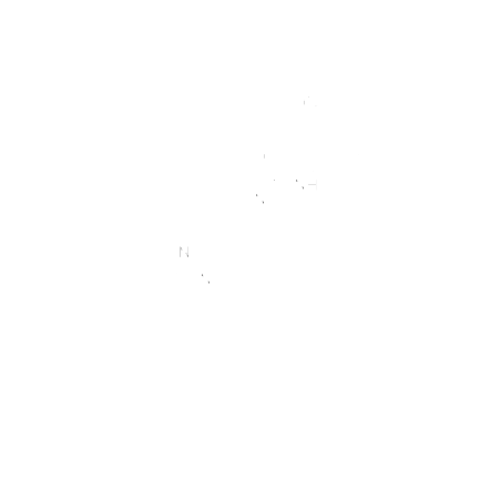 CCc1cccc(-c2nc(C3CCN(C(=O)Nc4cccc(Cl)c4)CC3)n3ccccc23)c1